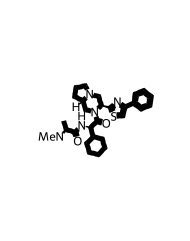 CN[C@@H](C)C(=O)N[C@H](C(=O)N1C[C@H]2CCCN2C[C@H]1c1nc(-c2ccccc2)cs1)C1CCCCC1